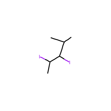 CC(C)C(I)C(C)I